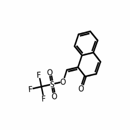 O=C1C=Cc2ccccc2C1=COS(=O)(=O)C(F)(F)F